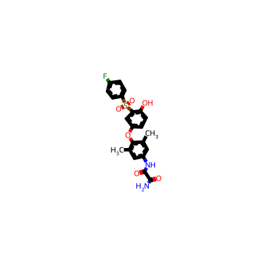 Cc1cc(NC(=O)C(N)=O)cc(C)c1Oc1ccc(O)c(S(=O)(=O)c2ccc(F)cc2)c1